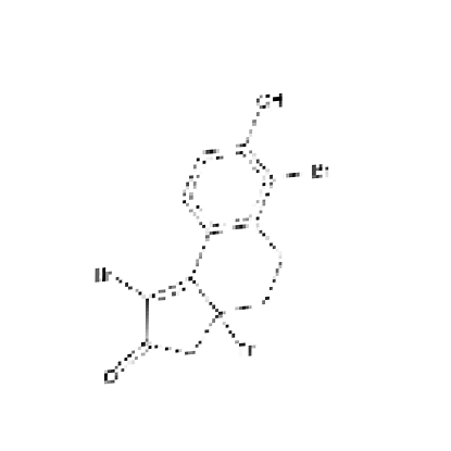 CCC12CCc3c(ccc(O)c3Br)C1=C(Br)C(=O)C2